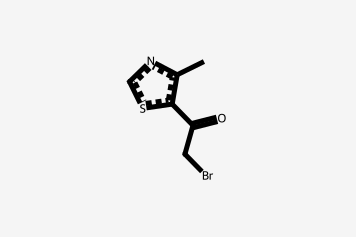 Cc1ncsc1C(=O)CBr